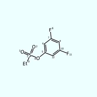 CCS(=O)(=O)Oc1cc(F)cc(F)c1